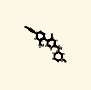 CC#Cc1ccc(-c2nnc(NC3CCCN(C)C3)cc2C)c(O)c1